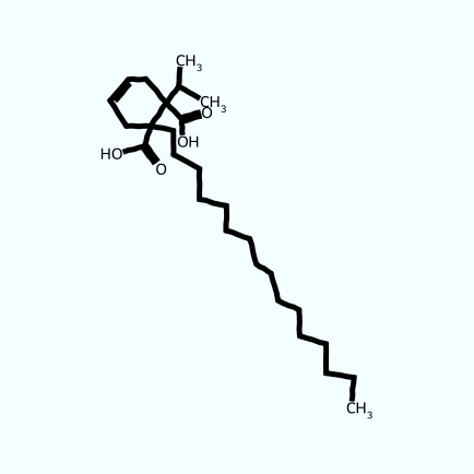 CCCCCCCCCCCCCCCCC1(C(=O)O)CC=CCC1(C(=O)O)C(C)C